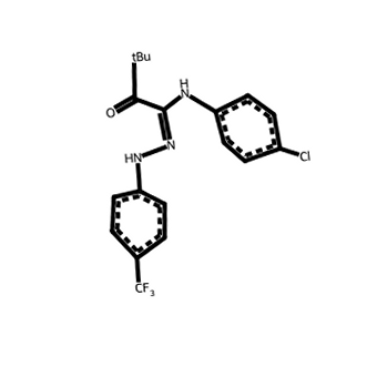 CC(C)(C)C(=O)/C(=N\Nc1ccc(C(F)(F)F)cc1)Nc1ccc(Cl)cc1